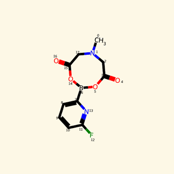 CN1CC(=O)OB(c2cccc(F)n2)OC(=O)C1